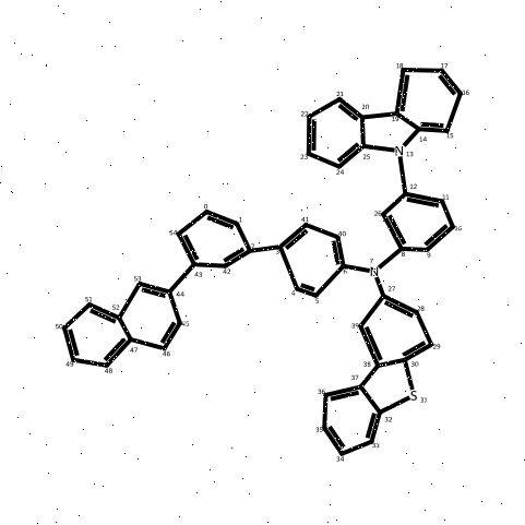 c1cc(-c2ccc(N(c3cccc(-n4c5ccccc5c5ccccc54)c3)c3ccc4sc5ccccc5c4c3)cc2)cc(-c2ccc3ccccc3c2)c1